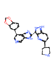 c1cc2c(cc1-c1cncc3[nH]c(-c4n[nH]c5ccc(C6CCNCC6)nc45)nc13)OCO2